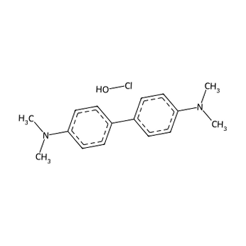 CN(C)c1ccc(-c2ccc(N(C)C)cc2)cc1.OCl